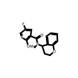 COc1ncc(F)cc1C(=O)N(C)C1CCOc2ccccc21